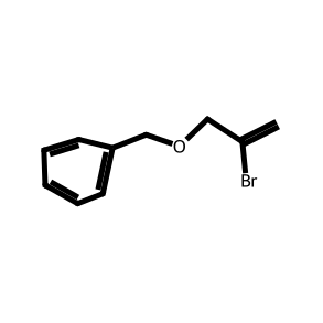 C=C(Br)COCc1ccccc1